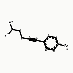 FC(F)CCC#Cc1ccc(Br)cc1